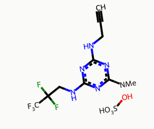 C#CCNc1nc(NC)nc(NCC(F)(F)C(F)(F)F)n1.O=S(=O)(O)O